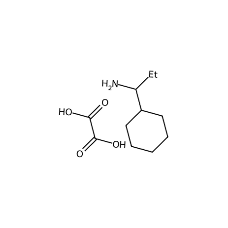 CCC(N)C1CCCCC1.O=C(O)C(=O)O